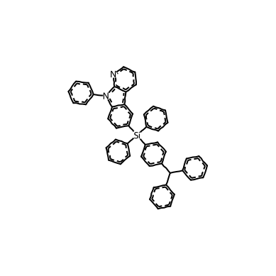 c1ccc(C(c2ccccc2)c2ccc([Si](c3ccccc3)(c3ccccc3)c3ccc4c(c3)c3cccnc3n4-c3ccccc3)cc2)cc1